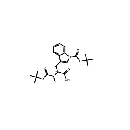 CN(C(=O)OC(C)(C)C)[C@@H](Cc1cn(C(=O)OC(C)(C)C)c2ccccc12)C(=O)O